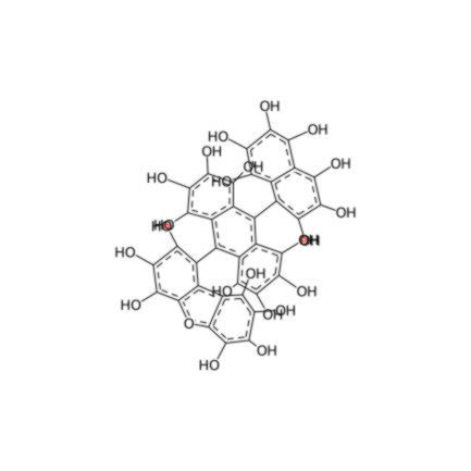 Oc1c(O)c(O)c2c(oc3c(O)c(O)c(O)c(-c4c5c(O)c(O)c(O)c(O)c5c(-c5c(O)c(O)c(O)c6c(O)c(O)c(O)c(O)c56)c5c(O)c(O)c(O)c(O)c45)c32)c1O